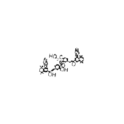 CN1CCN(c2cc(C(=O)C=Cc3ccc(C(=O)O)c(OC(=O)c4ccc(C#CC(O)c5cc(N6CCN(C)CC6)c6c(c5)C(C)(C)CCC6(C)C)cc4O)c3)cc3c2C(C)(C)CCC3(C)C)CC1